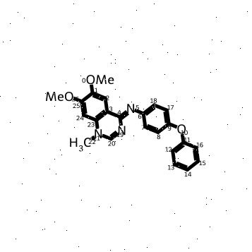 COc1cc2c(=Nc3ccc(Oc4ccccc4)cc3)ncn(C)c2cc1OC